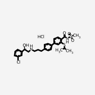 CC(C)Sc1cc(-c2ccc(CCCNC[C@H](O)c3cccc(Cl)c3)cc2)ccc1C(=O)NS(C)(=O)=O.Cl